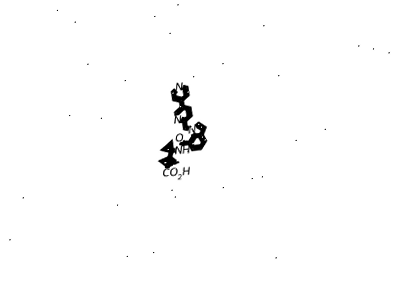 O=C(NC1(C23CC2(C(=O)O)C3)CC1)c1cccc2ccn(Cc3ccc(-c4ccncc4)cn3)c12